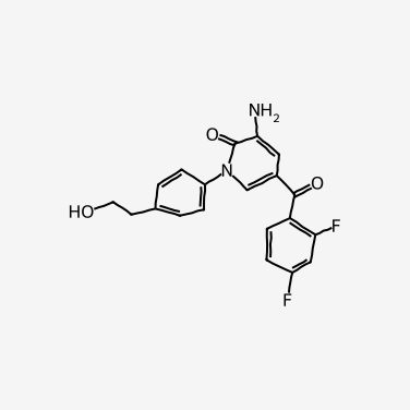 Nc1cc(C(=O)c2ccc(F)cc2F)cn(-c2ccc(CCO)cc2)c1=O